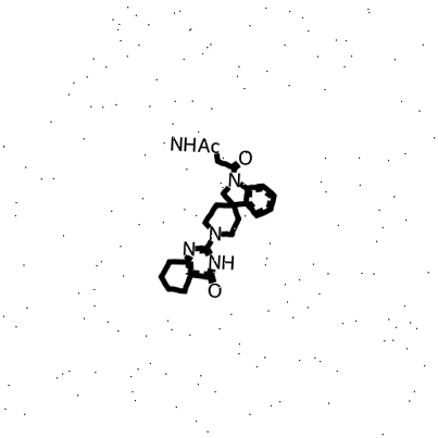 CC(=O)NCC(=O)N1CC2(CCN(c3nc4c(c(=O)[nH]3)CCCC4)CC2)c2ccccc21